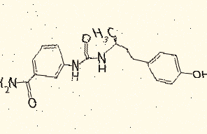 C[C@@H](CCc1ccc(O)cc1)NC(=O)Nc1cccc(C(N)=O)c1